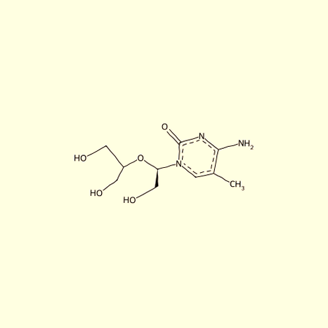 Cc1cn([C@@H](CO)OC(CO)CO)c(=O)nc1N